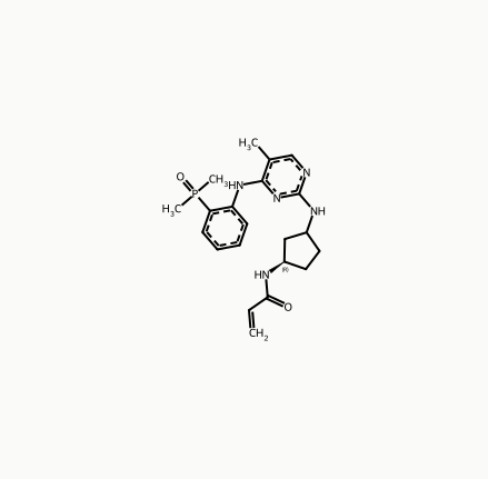 C=CC(=O)N[C@@H]1CCC(Nc2ncc(C)c(Nc3ccccc3P(C)(C)=O)n2)C1